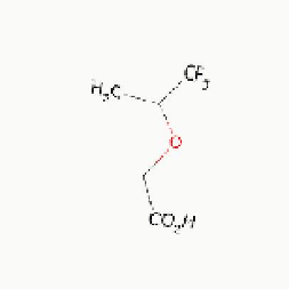 CC(OCC(=O)O)C(F)(F)F